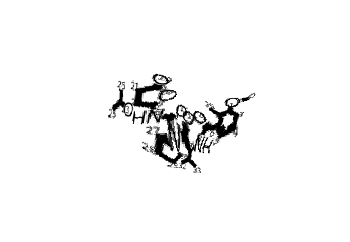 COc1cccc(C(=O)N[C@H](C(=O)[N+]2(C(=O)N[C@@H]3OC(=O)C[C@@H]3OC(C)C)CCCC2)C(C)C)c1C